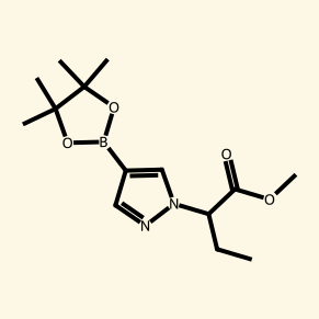 CCC(C(=O)OC)n1cc(B2OC(C)(C)C(C)(C)O2)cn1